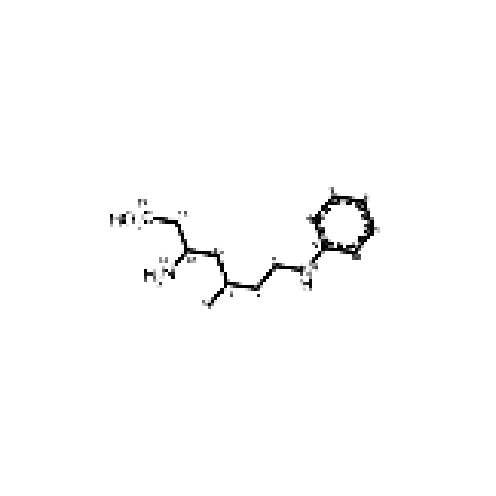 CC(CCNc1ccccc1)CC(N)CC(=O)O